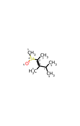 C/C(=C(/C)[S+](C)[O-])C(C)C